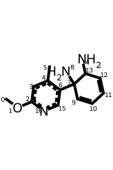 COc1cc(C)c(C2(N)C=CC=CC2N)cn1